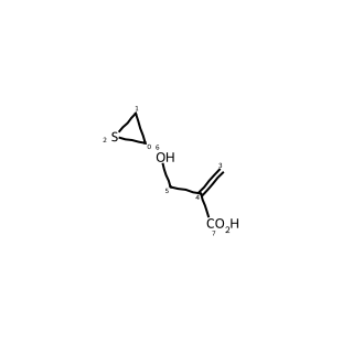 C1CS1.C=C(CO)C(=O)O